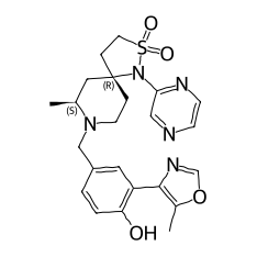 Cc1ocnc1-c1cc(CN2CC[C@]3(CCS(=O)(=O)N3c3cnccn3)C[C@@H]2C)ccc1O